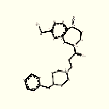 O=C(CCN1CCC(Cc2ccccc2)CC1)N1CC[S+]([O-])c2ccc(CO)cc2C1